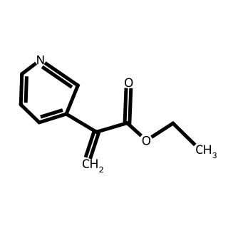 C=C(C(=O)OCC)c1cccnc1